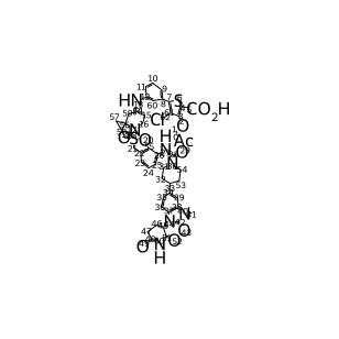 CC(=O)COc1c(C(=O)O)sc(-c2cccc(N[C@@H]3CCN(S(=O)(=O)Cc4cccc(NC(=O)N5CCC(c6ccc7c(c6)n(C)c(=O)n7C6CCC(=O)NC6=O)CC5)c4)C4(CC4)C3)c2)c1Cl